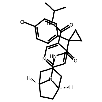 CC(C)NC(=O)c1ccc(N2[C@@H]3CC[C@H]2C[C@@H](NC(=O)C2(c4ccc(Cl)cc4)CC2)C3)nc1